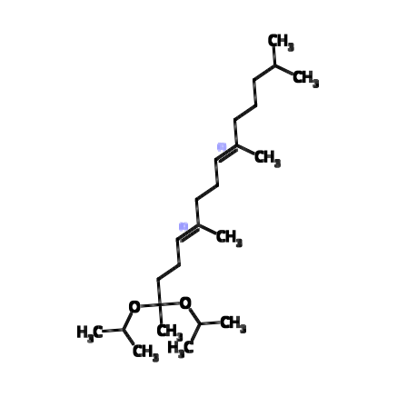 C/C(=C\CCC(C)(OC(C)C)OC(C)C)CC/C=C(\C)CCCC(C)C